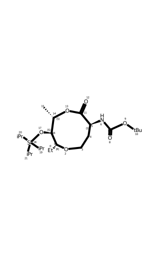 CC[C@H]1OCC[C@H](NC(=O)OC(C)(C)C)C(=O)O[C@@H](C)[C@@H]1O[Si](C(C)C)(C(C)C)C(C)C